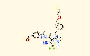 C=C(NC(C)c1ccc(C=O)cc1)/C(C(=N)C(F)(F)F)=C1/NCCN1Cc1cccc(COCCF)c1